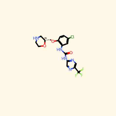 O=C(Nc1cnc(C(F)(F)F)cn1)Nc1cc(Cl)ccc1OC[C@H]1CNCCO1